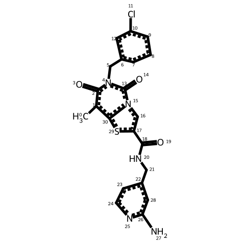 Cc1c(=O)n(Cc2cccc(Cl)c2)c(=O)n2cc(C(=O)NCc3ccnc(N)c3)sc12